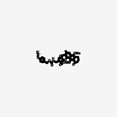 COc1c2c(c(O)c3c4c(c(C)cc13)C1OC3(CNC(=O)OCc5ccc(N=[N+]=[N-])cc5)OC1[C@@](OC)(O4)[C@@]31CO1)C(=O)CCC2